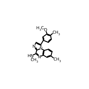 CNc1nc2cc(C)ccc2n2c(-c3ccc(C)c(OC)c3)cnc12